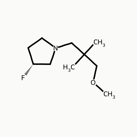 COCC(C)(C)CN1CC[C@@H](F)C1